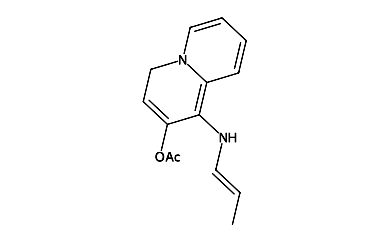 CC=CNC1=C2C=CC=CN2CC=C1OC(C)=O